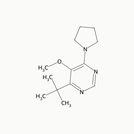 COc1c(N2CCCC2)ncnc1C(C)(C)C